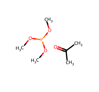 CC(C)=O.COP(OC)OC